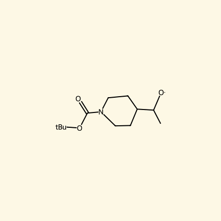 CC([O])C1CCN(C(=O)OC(C)(C)C)CC1